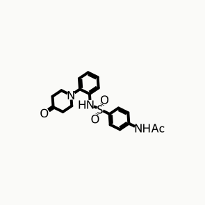 CC(=O)Nc1ccc(S(=O)(=O)Nc2ccccc2N2CCC(=O)CC2)cc1